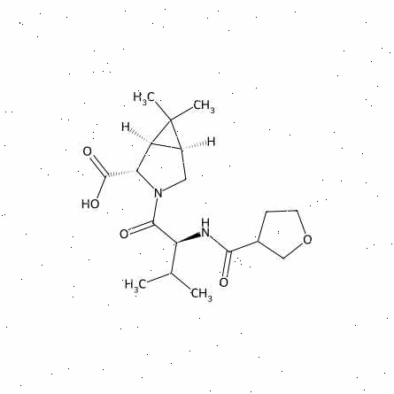 CC(C)[C@H](NC(=O)C1CCOC1)C(=O)N1C[C@H]2[C@@H]([C@H]1C(=O)O)C2(C)C